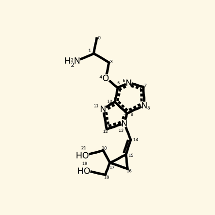 CC(N)COc1ncnc2c1ncn2C=C1CC1(CO)CO